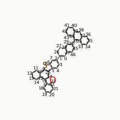 C1=C(c2ccc3c(c2)sc2c4ccccc4c4c5ccccc5oc4c32)CCc2cc(-c3c4ccccc4cc4ccccc34)ccc21